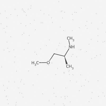 CN[C@@H](C)COC